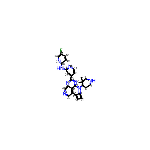 CC1(C)CNCCC1Nc1nc(-c2ccnc(Nc3ccc(F)cn3)c2)nc2cncc(C3=CC=C3)c12